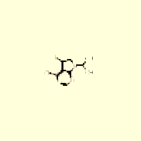 CC(C)N1CC(I)c2c(Cl)ncnc21